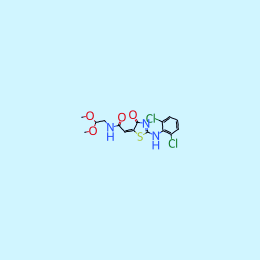 COC(CNC(=O)C=C1SC(Nc2c(Cl)cccc2Cl)=NC1=O)OC